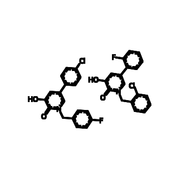 O=c1c(O)cc(-c2ccc(Cl)cc2)cn1Cc1ccc(F)cc1.O=c1c(O)cc(-c2ccccc2F)cn1Cc1ccccc1Cl